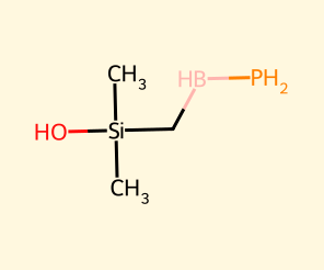 C[Si](C)(O)CBP